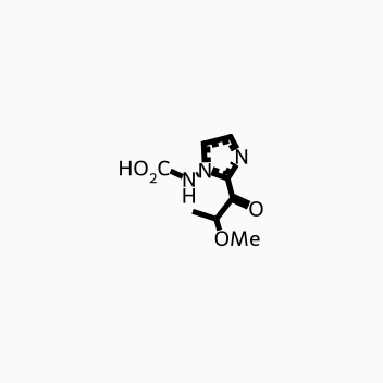 COC(C)C(=O)c1nccn1NC(=O)O